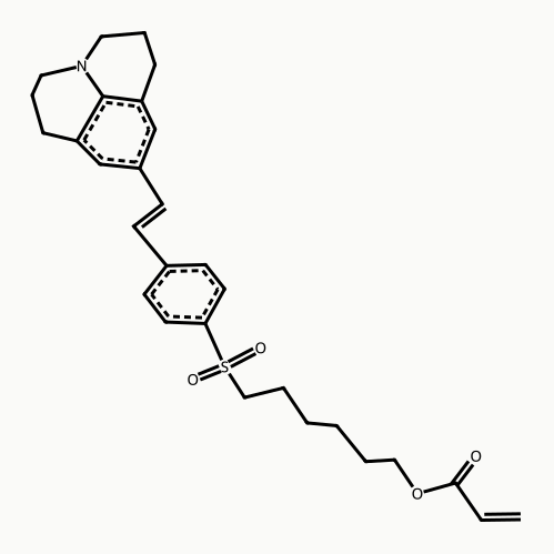 C=CC(=O)OCCCCCCS(=O)(=O)c1ccc(C=Cc2cc3c4c(c2)CCCN4CCC3)cc1